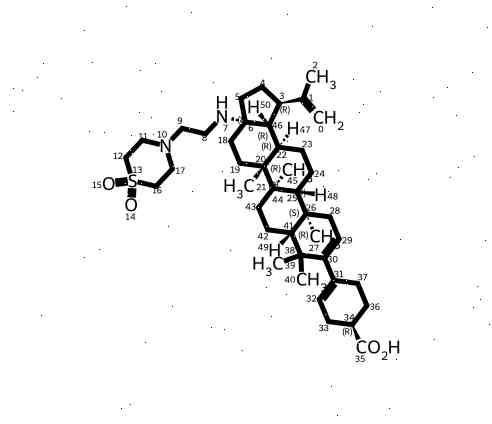 C=C(C)[C@@H]1CC[C@]2(NCCN3CCS(=O)(=O)CC3)CC[C@]3(C)[C@H](CC[C@@H]4[C@@]5(C)CC=C(C6=CC[C@H](C(=O)O)CC6)C(C)(C)[C@@H]5CC[C@]43C)[C@@H]12